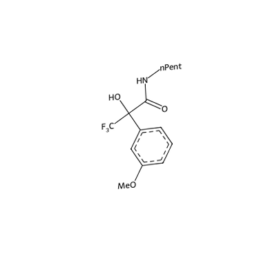 CCCCCNC(=O)C(O)(c1cccc(OC)c1)C(F)(F)F